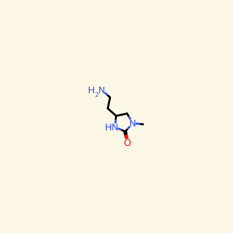 CN1CC(CCN)NC1=O